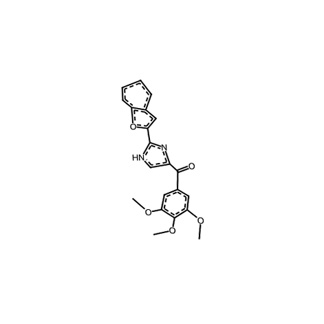 COc1cc(C(=O)c2c[nH]c(-c3cc4ccccc4o3)n2)cc(OC)c1OC